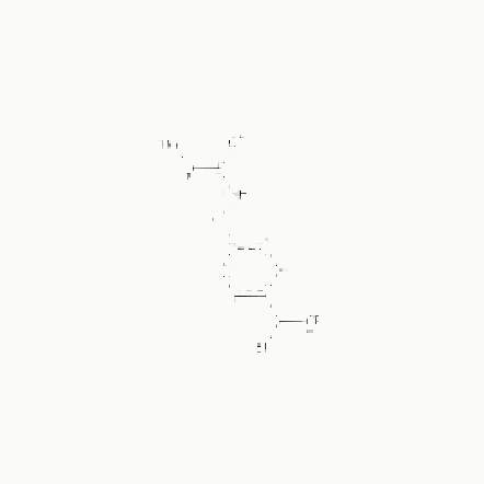 CCC(c1ccc(CNC(=O)OC(C)(C)C)cc1)C(F)(F)F